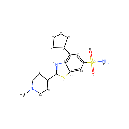 CN1CCC(c2nc3c(C4CCCC4)cc(S(N)(=O)=O)cc3s2)CC1